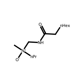 CCCCCCCC(=O)NC[N+](C)([O-])CCC